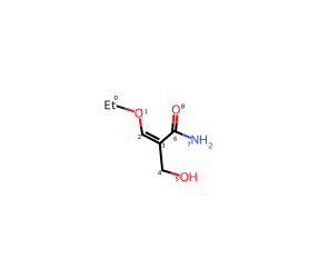 CCOC=C(CO)C(N)=O